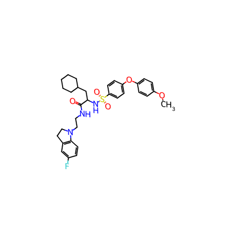 COc1ccc(Oc2ccc(S(=O)(=O)NC(CC3CCCCC3)C(=O)NCCN3CCc4cc(F)ccc43)cc2)cc1